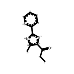 CCC(=O)c1sc(-c2ccccn2)nc1C